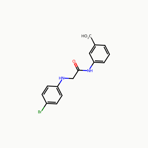 O=C(CNc1ccc(Br)cc1)Nc1cccc(C(=O)O)c1